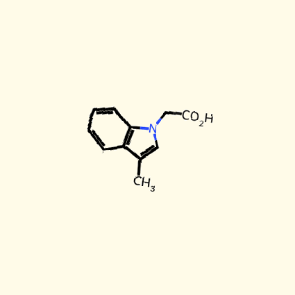 Cc1cn(CC(=O)O)c2ccc[c]c12